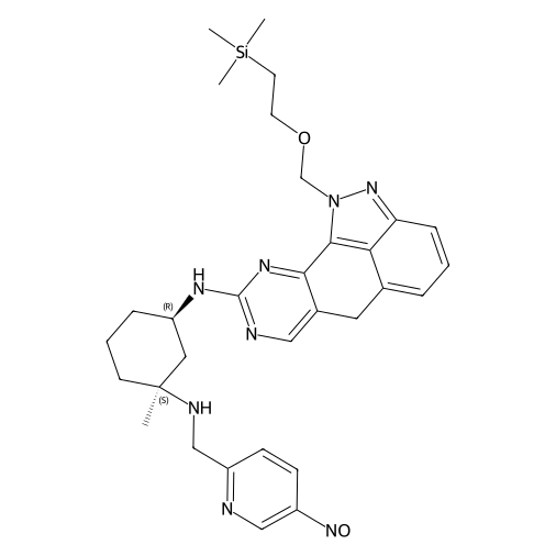 C[C@]1(NCc2ccc(N=O)cn2)CCC[C@@H](Nc2ncc3c(n2)-c2c4c(cccc4nn2COCC[Si](C)(C)C)C3)C1